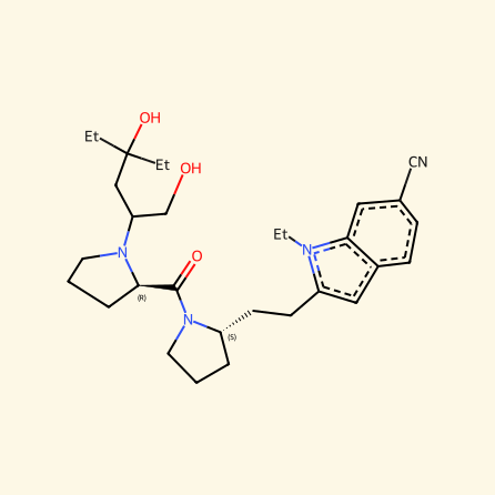 CCn1c(CC[C@@H]2CCCN2C(=O)[C@H]2CCCN2C(CO)CC(O)(CC)CC)cc2ccc(C#N)cc21